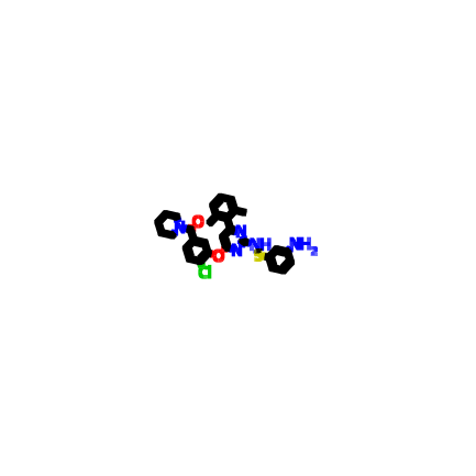 Cc1cccc(C)c1-c1cc(Oc2cc(C(=O)N3CCCCC3)ccc2Cl)nc(NSc2cccc(N)c2)n1